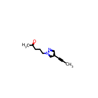 CC#Cc1cnn(CCCC(C)=O)c1